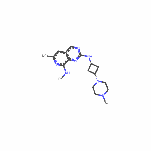 CC(=O)N1CCN([C@H]2C[C@H](Nc3ncc4cc(C#N)nc(NC(C)C)c4n3)C2)CC1